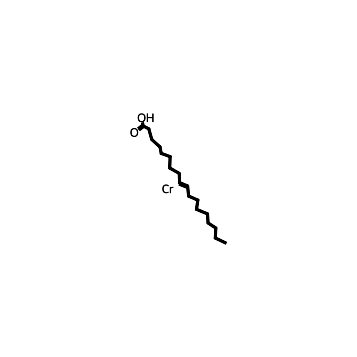 CCCCCCCCC=CCCCCCCCC(=O)O.[Cr]